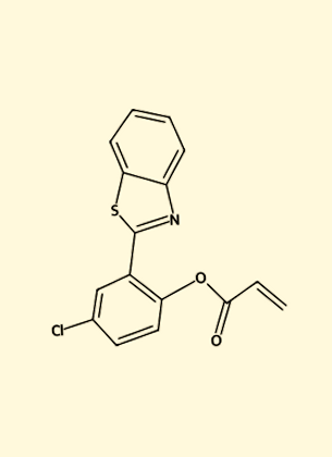 C=CC(=O)Oc1ccc(Cl)cc1-c1nc2ccccc2s1